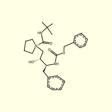 CC(C)(C)NC(=O)[N+]1(C[C@@H](O)[C@H](Cc2ccccc2)NC(=O)OCc2ccccc2)CCCC1